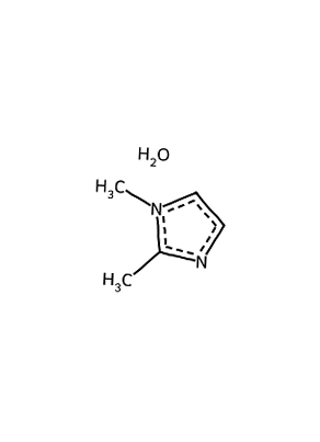 Cc1nccn1C.O